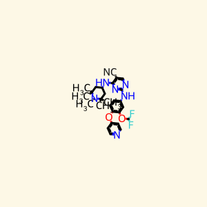 CN1C(C)(C)CC(Nc2nc(Nc3ccc(Oc4ccncc4)c(OC(F)F)c3)ncc2C#N)CC1(C)C